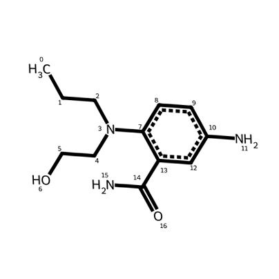 CCCN(CCO)c1ccc(N)cc1C(N)=O